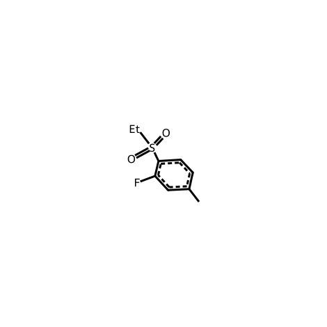 CCS(=O)(=O)c1ccc(C)cc1F